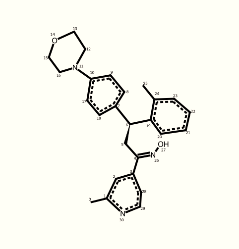 Cc1cc(/C(C[C@@H](c2ccc(N3CCOCC3)cc2)c2ccccc2C)=N/O)ccn1